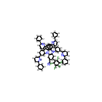 N#Cc1cc(-n2c3cc(-c4cccc(-c5ccccc5)n4)ccc3c3ccc(-c4cccc(-c5ccccc5)n4)cc32)c(-n2c3cc(-c4cccc(-c5ccccc5)n4)ccc3c3ccc(-c4cccc(-c5ccccc5)n4)cc32)cc1-c1c(F)c(F)c(F)c(F)c1F